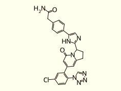 NC(=O)Cc1ccc(-c2cnc(C3CCc4cc(-c5cc(Cl)ccc5-n5cnnn5)cc(=O)n43)[nH]2)cc1